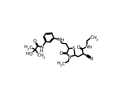 CCNC(=O)C(C#N)CC1SC(CCNc2cccc(NC(=O)C(C)(C)O)c2)C(=O)N1CC